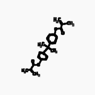 C=C(C)C(=O)Oc1ccc(C(C)(C)c2ccc(OC(=O)C(=C)C)cc2)cc1